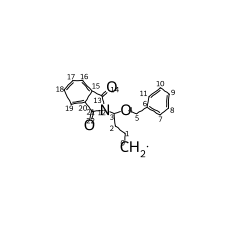 [CH2]CCC(OCc1ccccc1)N1C(=O)c2ccccc2C1=O